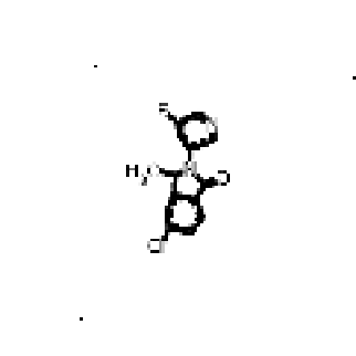 CC1c2cc(Cl)ccc2C(=O)N1c1cncc(F)c1